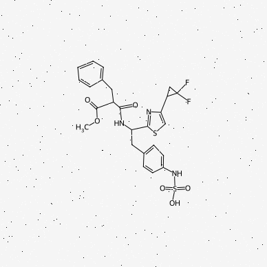 COC(=O)C(Cc1ccccc1)C(=O)NC(Cc1ccc(NS(=O)(=O)O)cc1)c1nc(C2CC2(F)F)cs1